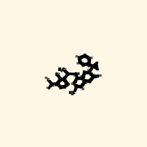 Cc1nc(NC(C)c2cccc(C(F)F)c2F)c2cn(C3(c4ccncc4)CC3)c(=O)cc2n1